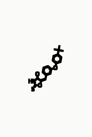 CC(C)(C)c1ccc(Oc2cccc(C=C3OC(=S)NC3=O)c2)cc1